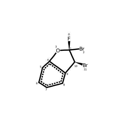 F[C@]1(Br)Oc2ccccc2[C@@H]1Br